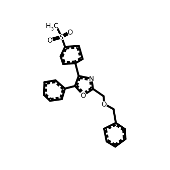 CS(=O)(=O)c1ccc(-c2nc(COCc3ccccc3)oc2-c2ccccc2)cc1